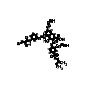 CCN(C)CCS(=O)(=O)c1ccc(N=Nc2c(S(=O)(=O)O)cc3cc(SOOO)cc(NCOc4cccc(NC(=O)C(Br)CBr)c4)c3c2O)c(SOOO)c1